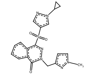 Cn1ccc(Cn2nc(S(=O)(=O)c3cnn(C4CC4)c3)c3ccccc3c2=O)n1